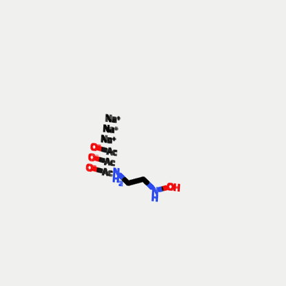 CC(=O)[O-].CC(=O)[O-].CC(=O)[O-].NCCNO.[Na+].[Na+].[Na+]